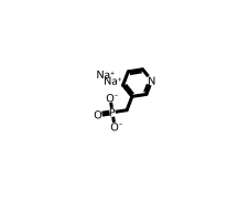 O=P([O-])([O-])Cc1cccnc1.[Na+].[Na+]